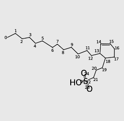 CCCCCCCCCCCCCC1C=CCCC1CCCS(=O)(=O)O